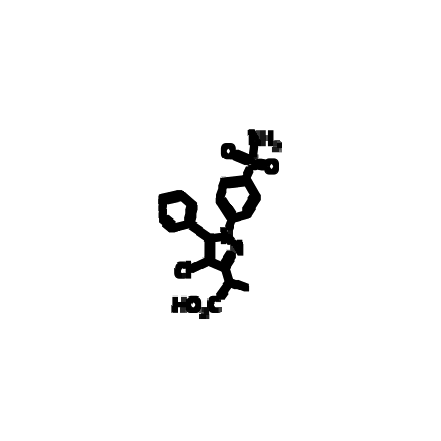 CC(C(=O)O)c1nn(-c2ccc(S(N)(=O)=O)cc2)c(-c2ccccc2)c1Cl